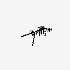 CCCCCCCCCCCC(=O)OC[C@H](CSC[C@@H](N)C(=O)Nc1cn(C[C@@H](O)CO)nn1)OC(=O)CCCCCCCCCCC